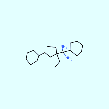 CCC(CC)(CCC1CCCCC1)C(N)(N)C1CCCCC1